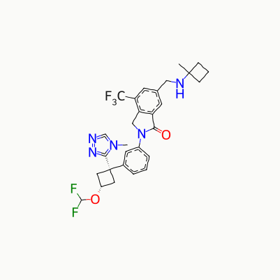 Cn1cnnc1[C@]1(c2cccc(N3Cc4c(cc(CNC5(C)CCC5)cc4C(F)(F)F)C3=O)c2)C[C@H](OC(F)F)C1